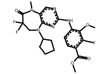 COC(=O)c1ccc(Nc2ncc3c(n2)N(C2CCCC2)CC(F)(F)C(=O)N3C)c(OC)c1F